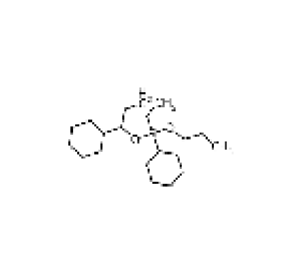 CCCO[Si](CC)(OC(CC)C1CCCCC1)C1CCCCC1